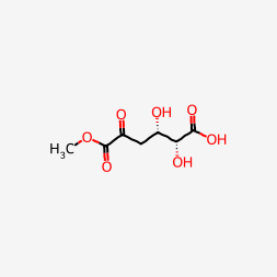 COC(=O)C(=O)C[C@H](O)[C@@H](O)C(=O)O